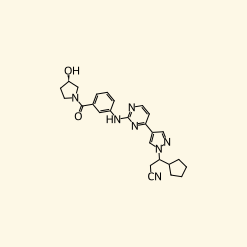 N#CCC(C1CCCC1)n1cc(-c2ccnc(Nc3cccc(C(=O)N4CC[C@@H](O)C4)c3)n2)cn1